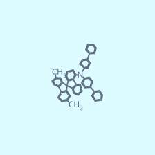 Cc1ccc2c(c1)C1(c3cc(C)ccc3-2)c2ccccc2-c2c(N(c3ccc(-c4ccccc4)cc3)c3ccc(-c4ccccc4)cc3)cccc21